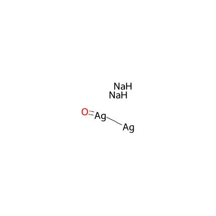 [NaH].[NaH].[O]=[Ag][Ag]